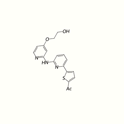 CC(=O)c1ccc(-c2cccc(Nc3cc(OCCO)ccn3)n2)s1